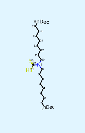 CCCCCCCCCCCCCCCCCCN(CCCCCCCCCCCCCCCCCC)C(=S)S